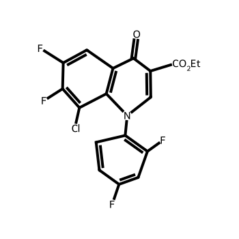 CCOC(=O)c1cn(-c2ccc(F)cc2F)c2c(Cl)c(F)c(F)cc2c1=O